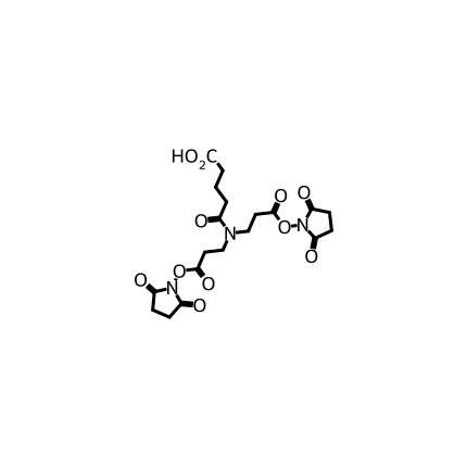 O=C(O)CCCC(=O)N(CCC(=O)ON1C(=O)CCC1=O)CCC(=O)ON1C(=O)CCC1=O